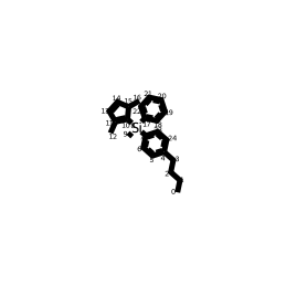 CCCCc1ccc([Si](C)(C2=C(C)C=CC2C)c2ccccc2)cc1